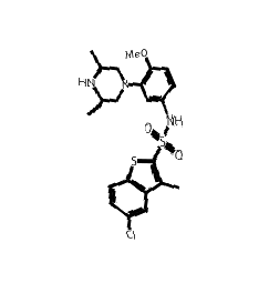 COc1ccc(NS(=O)(=O)c2sc3ccc(Cl)cc3c2C)cc1N1CC(C)NC(C)C1